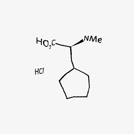 CN[C@H](C(=O)O)C1CCCC1.Cl